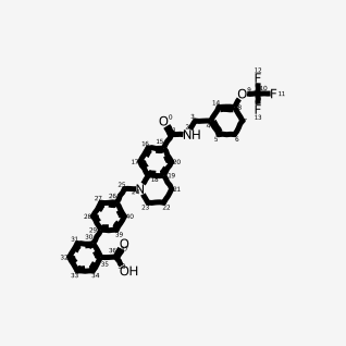 O=C(NCC1=CCCC(OC(F)(F)F)=C1)c1ccc2c(c1)CCCN2Cc1ccc(-c2ccccc2C(=O)O)cc1